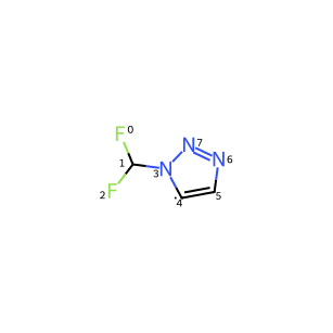 FC(F)n1[c]cnn1